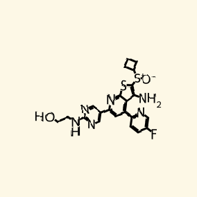 Nc1c([S+]([O-])C2CCC2)sc2nc(-c3cnc(NCCO)nc3)cc(-c3ccc(F)cn3)c12